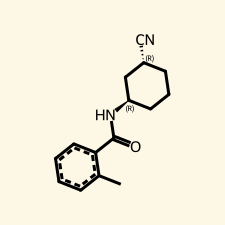 Cc1ccccc1C(=O)N[C@@H]1CCC[C@@H](C#N)C1